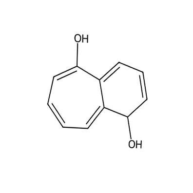 OC1=CC=CC=C2C1=CC=CC2O